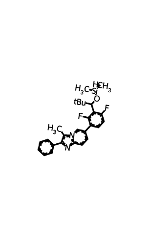 Cc1c(-c2ccccc2)nc2ccc(-c3ccc(F)c(C(O[SiH](C)C)C(C)(C)C)c3F)cn12